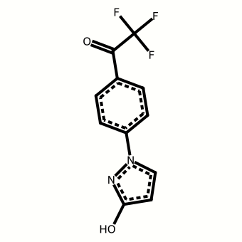 O=C(c1ccc(-n2ccc(O)n2)cc1)C(F)(F)F